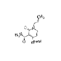 C=CCn1ccc(CCCCC)c(C(N)=O)c1=O